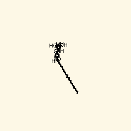 CCCCCCCCCCCCCCCCCCCCCCCCNS(=O)(=O)c1ccc(C(=O)Nc2cc(O)c(O)c(O)c2)cc1